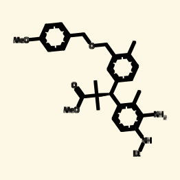 CCNc1ccc([C@H](c2ccc(C)c(COCc3ccc(OC)cc3)c2)C(C)(C)C(=O)OC)c(C)c1N